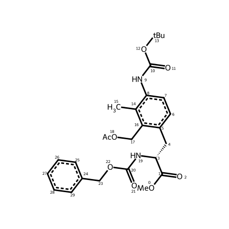 COC(=O)[C@@H](Cc1ccc(NC(=O)OC(C)(C)C)c(C)c1COC(C)=O)NC(=O)OCc1ccccc1